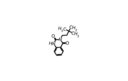 CC(C)(C)CCn1c(=O)[nH]c2ccccc2c1=O